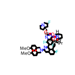 COc1ccc(CN(Cc2ccc(OC)cc2)c2cc3ccc(F)c(C#C[Si](C(C)C)(C(C)C)C(C)C)c3c(-c3c(F)cc4c(N5C[C@H]6CC[C@@H](C5)N6C(=O)OC(C)(C)C)nc(OC[C@@]56CCCN5C[C@H](F)C6)nc4c3F)n2)cc1